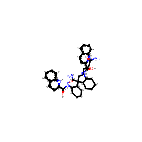 NC(=O)CCCCC(C(N)=O)(C1CCCCC1NC(=O)c1ccc2ccccc2n1)C1CCCCC1NC(=O)c1ccc2ccccc2n1